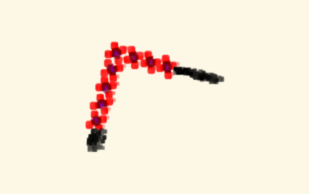 O=P([O-])([O-])[O-].O=P([O-])([O-])[O-].O=P([O-])([O-])[O-].O=P([O-])([O-])[O-].O=P([O-])([O-])[O-].O=P([O-])([O-])[O-].O=P([O-])([O-])[O-].O=P([O-])([O-])[O-].[Ca+2].[Ca+2].[Ca+2].[Fe+3].[Fe+3].[Fe+3].[Mn+2].[Mn+2].[Mn+2].[Na+].[Na+].[Na+]